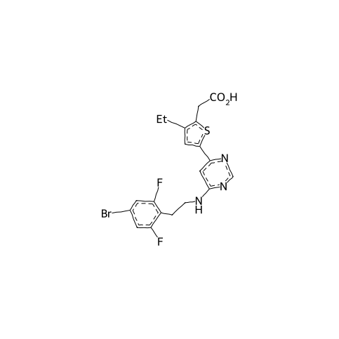 CCc1cc(-c2cc(NCCc3c(F)cc(Br)cc3F)ncn2)sc1CC(=O)O